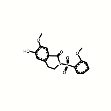 COc1cc2c(cc1O)CCN(S(=O)(=O)c1ccccc1OC)C2=O